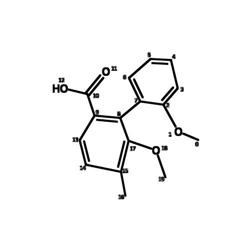 COc1ccccc1-c1c(C(=O)O)ccc(C)c1OC